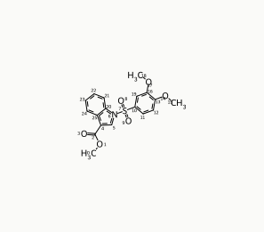 COC(=O)c1cn(S(=O)(=O)c2ccc(OC)c(OC)c2)c2ccccc12